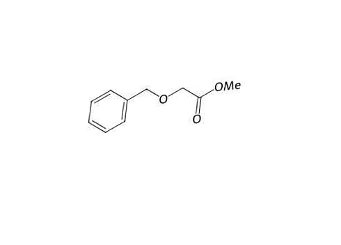 [CH2]OC(=O)COCc1ccccc1